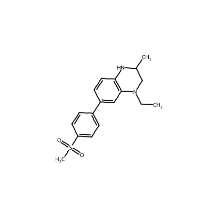 CCN1CC(C)Nc2ccc(-c3ccc(S(C)(=O)=O)cc3)cc21